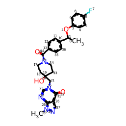 CC(Oc1ccc(F)cc1)c1ccc(C(=O)N2CCC(O)(Cn3cnc4c(cnn4C)c3=O)CC2)cc1